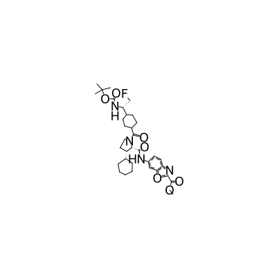 COC(=O)c1nc2ccc(NC(=O)[C@@H]3[C@H](C4CCCCC4)CCN3C(=O)C3CCC([C@@H](CF)NC(=O)OC(C)(C)C)CC3)cc2o1